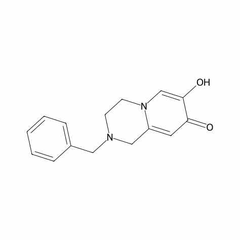 O=c1cc2n(cc1O)CCN(Cc1ccccc1)C2